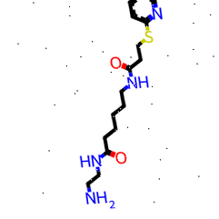 NCCNC(=O)CCCCCNC(=O)CCSc1ccccn1